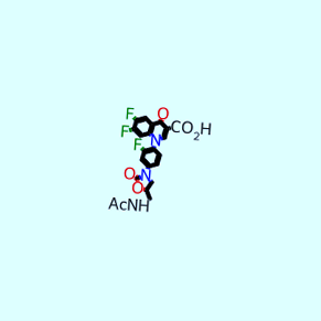 CC(=O)NCC1CN(c2ccc(-n3cc(C(=O)O)c(=O)c4cc(F)c(F)cc43)c(F)c2)C(=O)O1